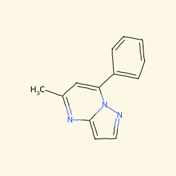 Cc1cc(-c2ccccc2)n2nccc2n1